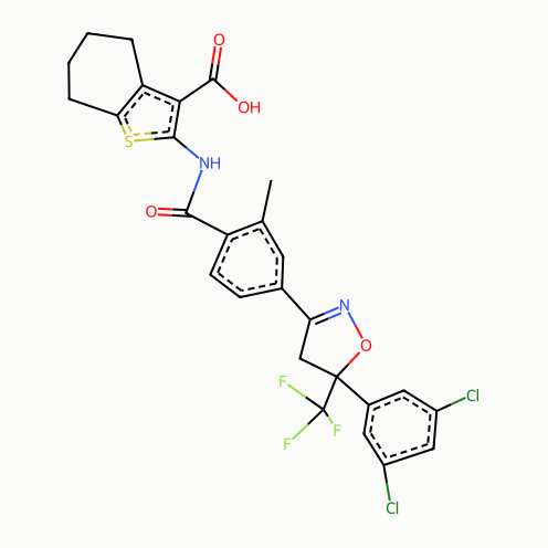 Cc1cc(C2=NOC(c3cc(Cl)cc(Cl)c3)(C(F)(F)F)C2)ccc1C(=O)Nc1sc2c(c1C(=O)O)CCCC2